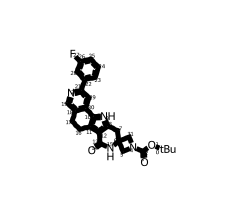 CC(C)(C)OC(=O)N1CC2(Cc3[nH]c4c(c3C(=O)N2)CCc2cnc(-c3cccc(F)c3)cc2-4)C1